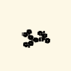 c1ccc(-n2c3ccc(-c4ccc(N(c5ccc(-n6c7ccccc7c7cnccc76)cc5)c5ccc6sc7ccccc7c6c5)cc4)cc3c3c4c(ccc32)sc2ccccc24)cc1